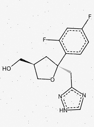 OC[C@@H]1CO[C@](Cc2nc[nH]n2)(c2ccc(F)cc2F)C1